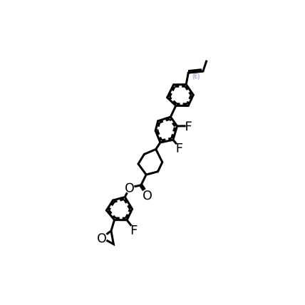 C/C=C/c1ccc(-c2ccc(C3CCC(C(=O)Oc4ccc(C5CO5)c(F)c4)CC3)c(F)c2F)cc1